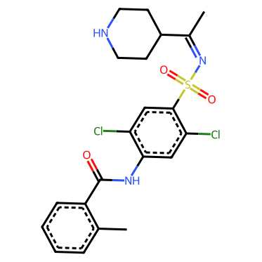 C/C(=N/S(=O)(=O)c1cc(Cl)c(NC(=O)c2ccccc2C)cc1Cl)C1CCNCC1